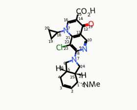 CN[C@@H]1C=CC[C@@H]2CN(c3ncc4c(=O)c(C(=O)O)cn(C5CC5)c4c3Cl)C[C@@H]21